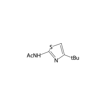 CC(=O)Nc1nc(C(C)(C)C)cs1